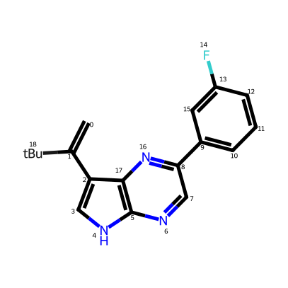 C=C(c1c[nH]c2ncc(-c3cccc(F)c3)nc12)C(C)(C)C